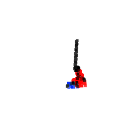 CCCCCCCCCCCCCCc1ccc(OCC(COP(O)OCCNCC)OC(=O)CC)cc1